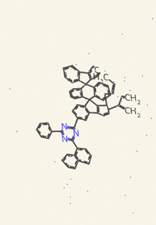 C=CC(=C)C1C=CC2=C(C1C/C=C\C)C1(c3ccc(-c4nc(-c5ccccc5)nc(-c5cccc6ccccc56)n4)cc32)c2ccccc2C2(c3ccccc3-c3ccccc32)c2ccccc21